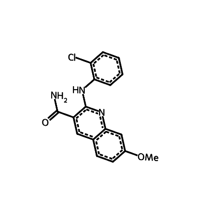 COc1ccc2cc(C(N)=O)c(Nc3ccccc3Cl)nc2c1